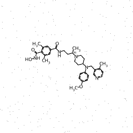 COc1ccc(N(Cc2cnccc2C)C2CCN([C@H](C)CCNC(=O)c3cc(C)c(C(=O)NO)c(C)c3)CC2)cc1